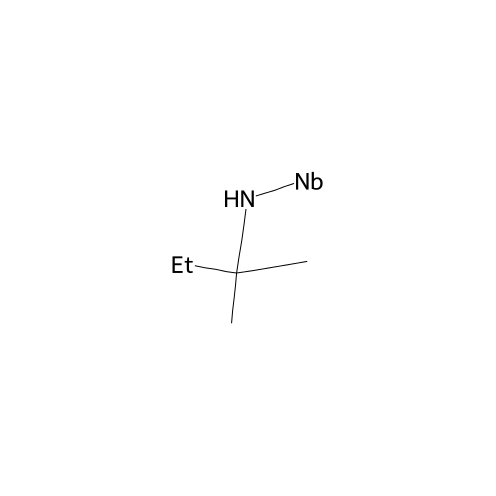 CCC(C)(C)[NH][Nb]